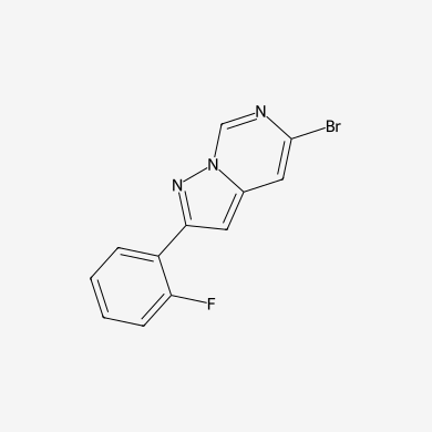 Fc1ccccc1-c1cc2cc(Br)ncn2n1